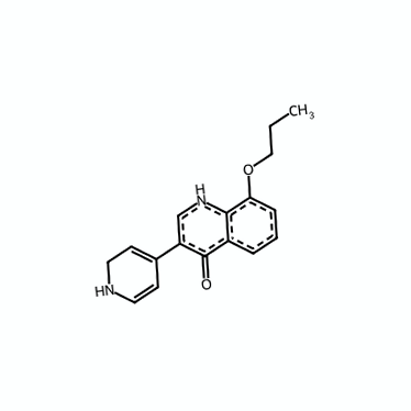 CCCOc1cccc2c(=O)c(C3=CCNC=C3)c[nH]c12